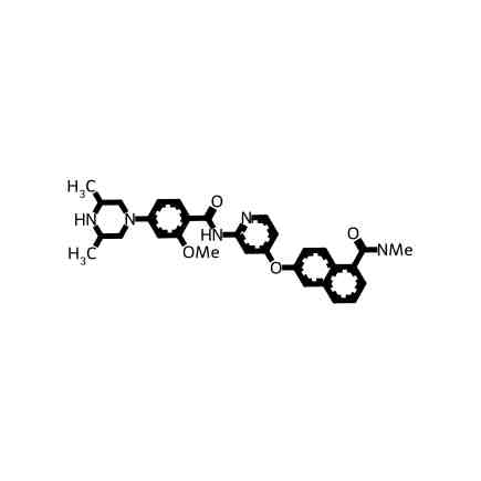 CNC(=O)c1cccc2cc(Oc3ccnc(NC(=O)c4ccc(N5CC(C)NC(C)C5)cc4OC)c3)ccc12